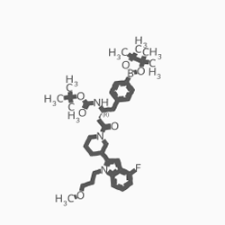 COCCCn1c(C2CCCN(C(=O)C[C@@H](Cc3ccc(B4OC(C)(C)C(C)(C)O4)cc3)NC(=O)OC(C)(C)C)C2)cc2c(F)cccc21